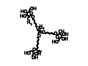 CC(C)[C@H](CCCCCCOCC(C)(COCCCCCO[C@@H]1OC(CO)[C@H](O)C(O)[C@@H]1C)COCCCCCO[C@@H]1OC(CO)[C@H](O)C(O)[C@@H]1C)OC(CO)[C@H](O)CO